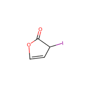 O=C1OC=CC1I